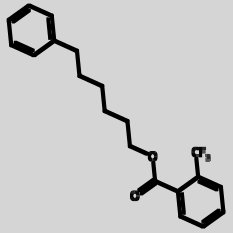 O=C(OCCCCCCc1ccccc1)c1ccccc1C(F)(F)F